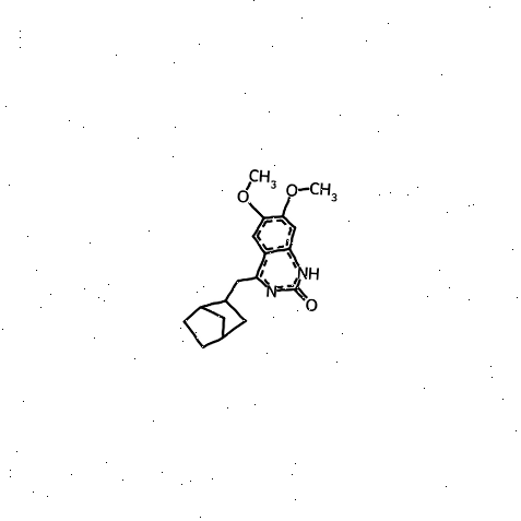 COc1cc2[nH]c(=O)nc(CC3CC4CCC3C4)c2cc1OC